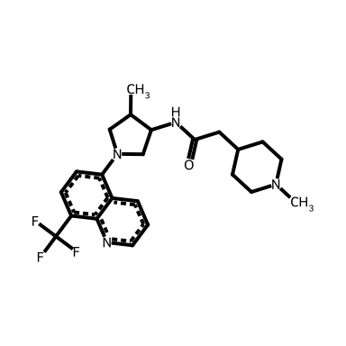 CC1CN(c2ccc(C(F)(F)F)c3ncccc23)CC1NC(=O)CC1CCN(C)CC1